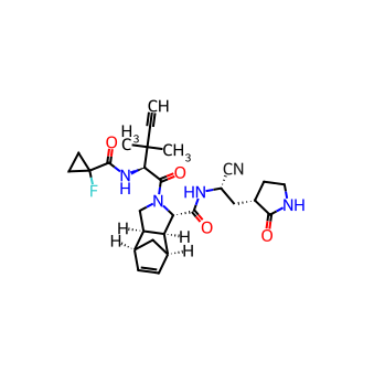 C#CC(C)(C)[C@H](NC(=O)C1(F)CC1)C(=O)N1C[C@H]2[C@@H]([C@H]1C(=O)N[C@H](C#N)C[C@@H]1CCNC1=O)[C@H]1C=C[C@@H]2C1